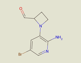 Nc1ncc(Br)cc1N1CCC1C=O